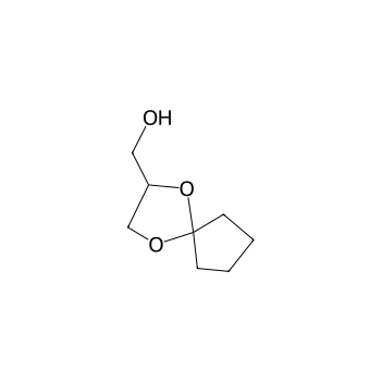 OCC1COC2(CCCC2)O1